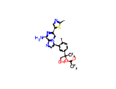 Cc1ncc(-c2cn3c(-c4cc(C(CO)(OC(=O)C(F)(F)F)C(F)(F)F)ccc4C)cnc3c(N)n2)s1